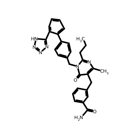 CCCc1nc(C)c(Cc2cccc(C(N)=O)c2)c(=O)n1Cc1ccc(-c2ccccc2-c2nnn[nH]2)cc1